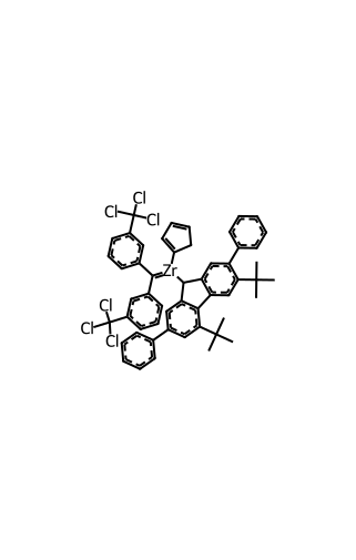 CC(C)(C)c1cc2c(cc1-c1ccccc1)[CH]([Zr]([C]1=CC=CC1)=[C](c1cccc(C(Cl)(Cl)Cl)c1)c1cccc(C(Cl)(Cl)Cl)c1)c1cc(-c3ccccc3)cc(C(C)(C)C)c1-2